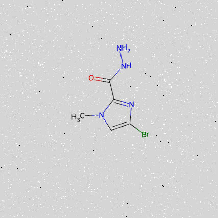 Cn1cc(Br)nc1C(=O)NN